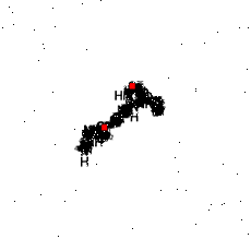 CN[C@@H](C)C(=O)N[C@H](C(=O)N1C[C@@H](NC(=O)c2cnc(N3CCN(CCCOc4cc5ncnc(Nc6n[nH]c(C)c6C)c5cc4S(=O)(=O)C(C)(C)C)CC3)cn2)C[C@H]1C(=O)N[C@@H]1CCCc2ccccc21)C(C)(C)C